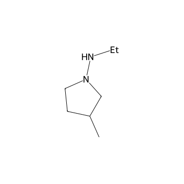 CCNN1CCC(C)C1